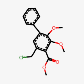 COC(=O)c1c(CCl)cc(-c2ccccc2)c(OC)c1OC